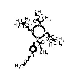 CCOCCOc1ccc(C[C@@H](C(=O)OCC)N2CCN(CC(=O)OC(C)(C)C)CCN([C@H](CC)C(=O)OCC)CCN(CC(=O)OC(C)(C)C)CC2)cc1